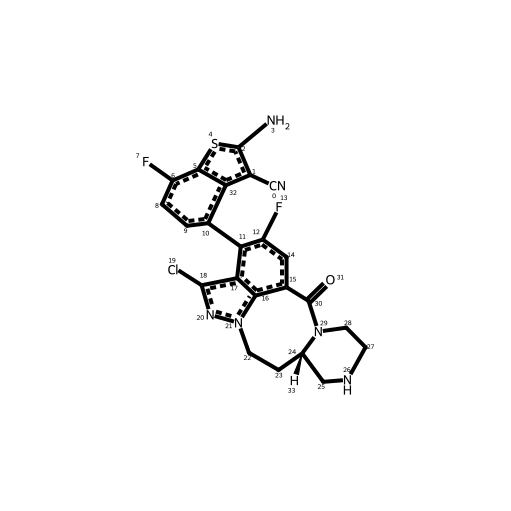 N#Cc1c(N)sc2c(F)ccc(-c3c(F)cc4c5c3c(Cl)nn5CC[C@H]3CNCCN3C4=O)c12